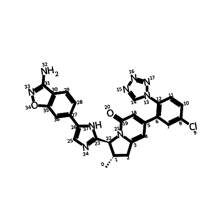 C[C@H]1Cc2cc(-c3cc(Cl)ccc3-n3cnnn3)cc(=O)n2[C@@H]1c1ncc(-c2ccc3c(N)noc3c2)[nH]1